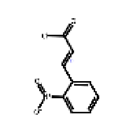 O=C(Cl)/C=C/c1ccccc1[N+](=O)[O-]